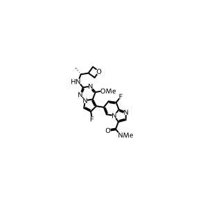 CNC(=O)c1cnc2c(F)cc(-c3c(F)cn4nc(N[C@H](C)C5COC5)nc(OC)c34)cn12